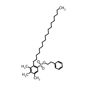 CCCCCCCCCCCCCCCCCCc1c(S(=O)(=O)OCCc2ccccc2)cc(C)c(C)c1C